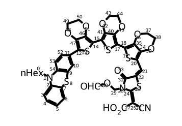 CCCCCCN1c2ccccc2Sc2cc(-c3sc(-c4sc(-c5sc(/C=c6/s/c(=C(\C#N)C(=O)O)n(COC=O)c6=O)c6c5OCCO6)c5c4OCCO5)c4c3OCCO4)ccc21